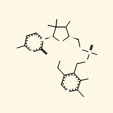 Cc1ncc(CO)c(CNP(=O)(O)OC[C@H]2O[C@@H](n3ccc(N)nc3=O)C(F)(F)C2O)c1O